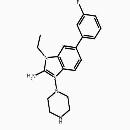 CCN1C(N)=S(N2CCNCC2)c2ccc(-c3cccc(F)c3)[c]c21